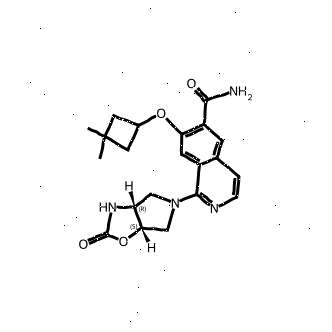 CC1(C)CC(Oc2cc3c(N4C[C@@H]5OC(=O)N[C@@H]5C4)nccc3cc2C(N)=O)C1